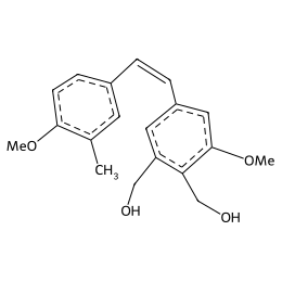 COc1ccc(/C=C\c2cc(CO)c(CO)c(OC)c2)cc1C